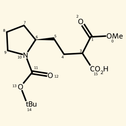 COC(=O)C(CC[C@@H]1CCCN1C(=O)OC(C)(C)C)C(=O)O